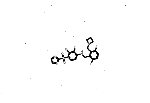 O=S(=O)(c1n[c]cs1)c1ccc(NCc2c(F)ccc(F)c2CN2CCC2)c(F)c1F